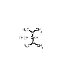 C[N](C)[Ge+2][N](C)C.[Cl-].[Cl-]